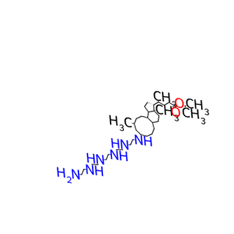 CC1CCC2C(CCC[C@H](NCCNCCNCCNCCNCCN)C1)CC[C@@]1(C)C2CC[C@@H]1[C@H](C)CCC(=O)OC(C)C